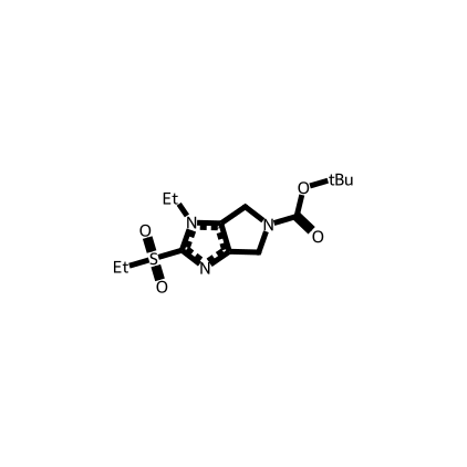 CCn1c(S(=O)(=O)CC)nc2c1CN(C(=O)OC(C)(C)C)C2